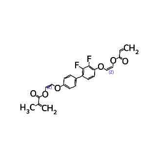 C=CC(=O)O/C=C\Oc1ccc(-c2ccc(O/C=C\OC(=O)C(=C)C)cc2)c(F)c1F